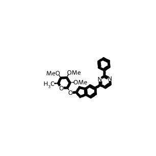 CO[C@@H]1[C@H](OC)[C@H](OC2Cc3ccc(-c4ccnc(-c5ccccc5)n4)cc3C2)O[C@@H](C)[C@@H]1OC